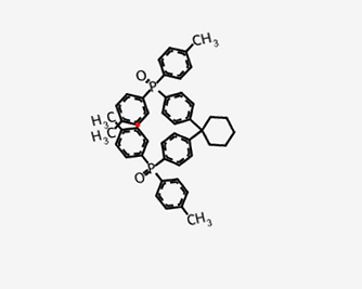 Cc1ccc(P(=O)(c2ccc(C)cc2)c2ccc(C3(c4ccc(P(=O)(c5ccc(C)cc5)c5ccc(C)cc5)cc4)CCCCC3)cc2)cc1